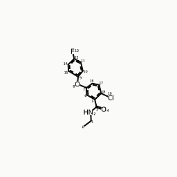 CCNC(=O)c1cc(Oc2ccc(F)cc2)ccc1Cl